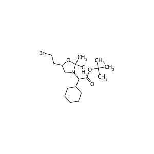 CC(C)(C)OC(=O)C(C1CCCCC1)N1CC(CCBr)OC1(C)C